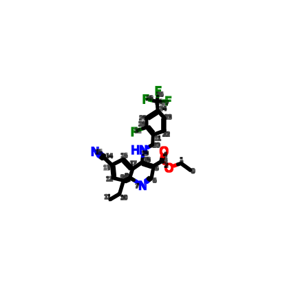 CCOC(=O)c1cnc2c(CC)cc(C#N)cc2c1NCc1ccc(C(F)(F)F)cc1F